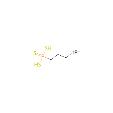 CCCCCCP(=S)(S)S